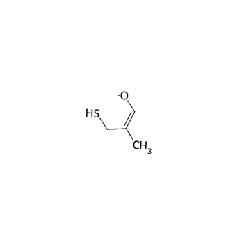 CC(=C[O])CS